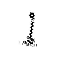 CN(C)CC(CC(=O)O)NC(=O)CCCCCCCCCOCc1ccccc1